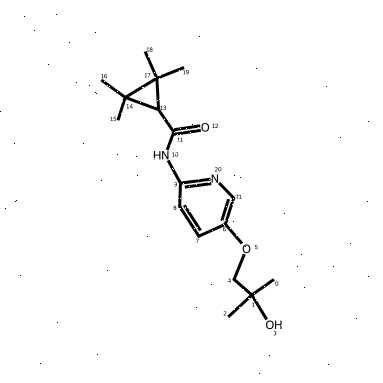 CC(C)(O)COc1ccc(NC(=O)C2C(C)(C)C2(C)C)nc1